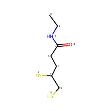 CCNC(=O)CCC(S)CS